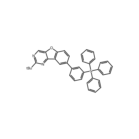 CC(C)(C)c1ncc2oc3ccc(-c4cccc([Si](c5ccccc5)(c5ccccc5)c5ccccc5)c4)cc3c2n1